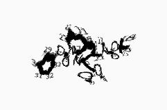 COC(OC)c1nc2c(cc1CN(C)C(=O)OC(C)(C)C)CCCN2C(=O)Oc1ccccc1